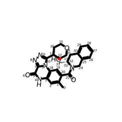 Cc1cc2[nH]c(=O)c3nnc(C4CCOCC4)n3c2cc1C(=O)N1Cc2ccccc2C[C@H]1CO